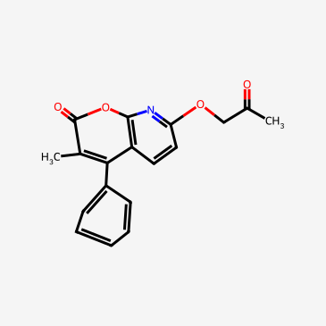 CC(=O)COc1ccc2c(-c3ccccc3)c(C)c(=O)oc2n1